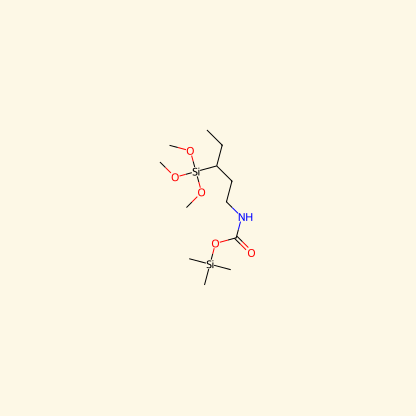 CCC(CCNC(=O)O[Si](C)(C)C)[Si](OC)(OC)OC